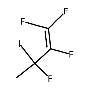 CC(F)(I)C(F)=C(F)F